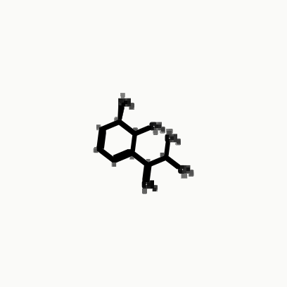 C=C(C1=CC=C[C@@H](N)C1C)C(C)C